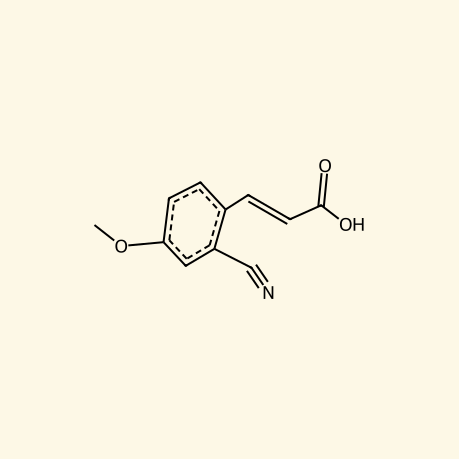 COc1ccc(C=CC(=O)O)c(C#N)c1